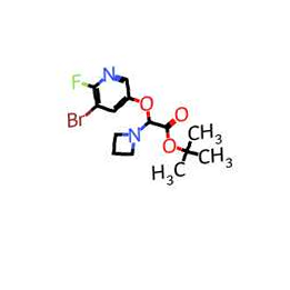 CC(C)(C)OC(=O)C(Oc1cnc(F)c(Br)c1)N1CCC1